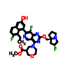 CCc1c(F)ccc2cc(O)cc(-c3ncc4c(N5CCOCC(C(=O)OC)C5)nc(OC[C@@]56CCCN5C[C@H](F)C6)nc4c3F)c12